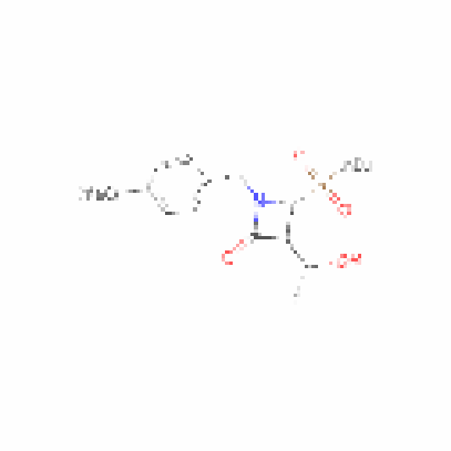 CCCCS(=O)(=O)[C@@H]1[C@@H]([C@@H](C)O)C(=O)N1Cc1ccc(OC)cc1